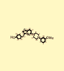 COc1cccc(N2CCN(c3ccc4nnc(Cc5ccc(O)cc5)n4n3)CC2)c1